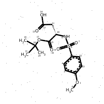 COc1ccc(S(=O)(=O)N[C@@H](CC(=O)O)C(=O)OC(C)(C)C)cc1